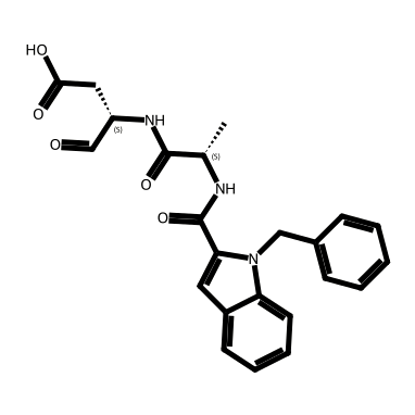 C[C@H](NC(=O)c1cc2ccccc2n1Cc1ccccc1)C(=O)N[C@H](C=O)CC(=O)O